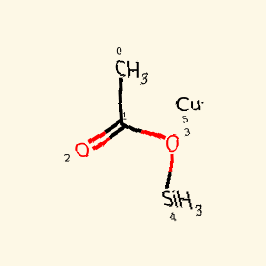 CC(=O)O[SiH3].[Cu]